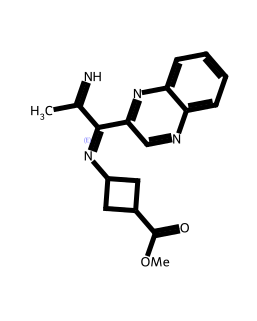 COC(=O)C1CC(/N=C(/C(C)=N)c2cnc3ccccc3n2)C1